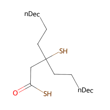 CCCCCCCCCCCCC(S)(CCCCCCCCCCCC)CC(=O)S